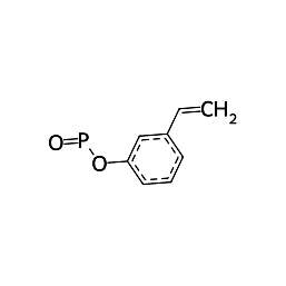 C=Cc1cccc(OP=O)c1